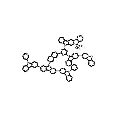 CC1(C)c2ccccc2-c2cc3c4ccccc4n(-c4nc(-c5ccc6ccc(-n7c8cc(-c9ccc%10c(c9)c9ccccc9n%10-c9ccccc9)ccc8c8ccc(-c9ccc%10c(c9)c9ccccc9n%10-c9ccccc9)cc87)cc6c5)nc(-n5c6ccccc6c6cc(-c7ccc8oc9ccccc9c8c7)ccc65)n4)c3cc21